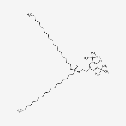 CCCCCCCCCCCCCCCCCCOP(=O)(CCCCCCCCCCCCCCCCCC)OCCc1cc(C(C)(C)C)c(O)c(C(C)(C)C)c1